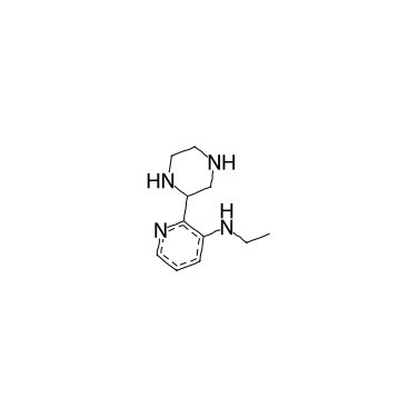 CCNc1cccnc1C1CNCCN1